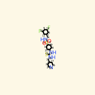 O=S(=O)(NCc1cc(F)cc(F)c1)c1ccc(NC(=S)NCc2ccncc2)cc1